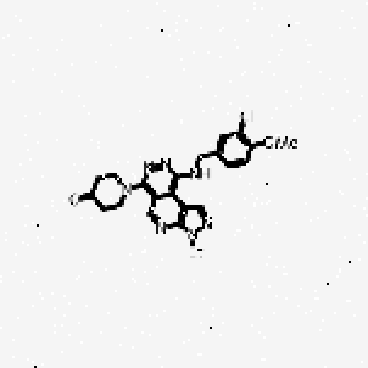 CCn1ncc2c3c(NCc4ccc(OC)c(Cl)c4)nnc(N4CCC(=O)CC4)c3cnc21